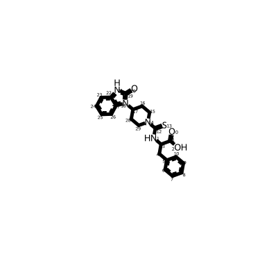 O=C(O)C(Cc1ccccc1)NC(=S)N1CCC(n2c(=O)[nH]c3ccccc32)CC1